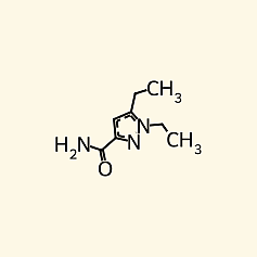 CCc1cc(C(N)=O)nn1CC